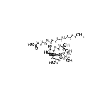 CCCCCCCCCCCCCCCCCC(=O)O.O=C(O)CCCCC(=O)O.OCC(CO)(CO)COCC(CO)(CO)CO